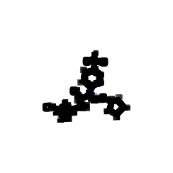 CS(=O)(=O)c1ccc(/C(=N\OC2CCCC2)C(=O)Nc2ncc(Cl)s2)cc1